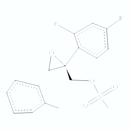 Cc1ccccc1[C@@H]1O[C@]1(COS(C)(=O)=O)c1ccc(F)cc1F